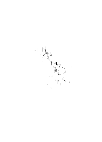 CCc1cc(C(=O)N2CCCCCC2C)nc2cc(-c3csc(N)n3)nn12